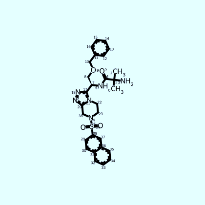 CC(C)(N)C(=O)N[C@H](COCc1ccccc1)c1nnc2n1CCN(S(=O)(=O)c1ccc3ccccc3c1)C2